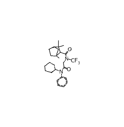 CC12CCC(C1)C(C)(C)C2C(=O)N(CC(=O)N(c1ccccc1)C1CCCCC1)C(F)(F)F